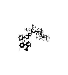 CC(C)[C@@H](CCC(C)(C)NC(=O)OC(C)(C)C)N1CC2(CCN(c3ncnnc3Oc3ccc(F)cc3-c3cncnc3C3CC3)C2)C1